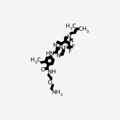 CCc1cc(Nc2nccn3c(-c4cn(CC=C(C)C)nc4C(F)(F)F)cnc23)ccc1C(=O)NCCOCCN